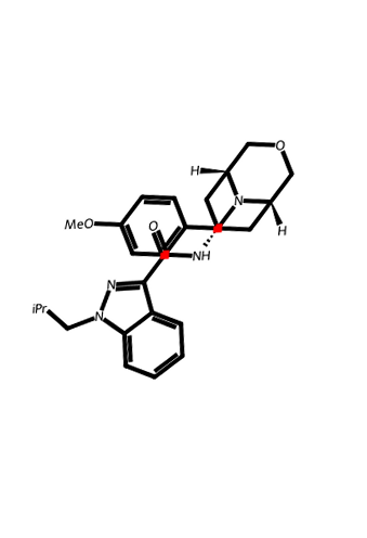 COc1ccc(CN2[C@@H]3COC[C@H]2C[C@@H](NC(=O)c2nn(CC(C)C)c4ccccc24)C3)cc1